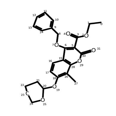 CCOC(=O)c1c(OCc2ccccc2)c2ccc(OC3CCCCO3)c(C)c2oc1=O